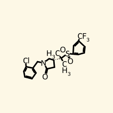 CC(C)([C@@H]1CC(=O)N(Cc2ccccc2Cl)C1)S(=O)(=O)c1cccc(C(F)(F)F)c1